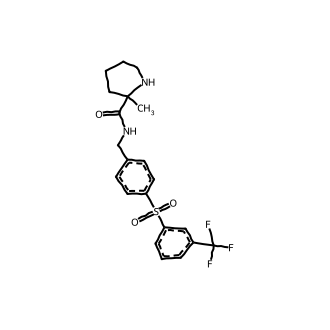 CC1(C(=O)NCc2ccc(S(=O)(=O)c3cccc(C(F)(F)F)c3)cc2)CCCCN1